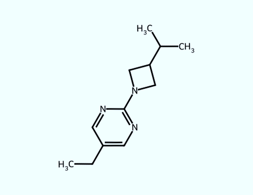 CCc1cnc(N2CC(C(C)C)C2)nc1